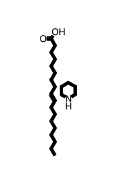 C1CCNCC1.CCCCCCCCC=CCCCCCCCC(=O)O